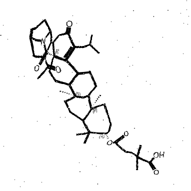 CC(=O)N1CC2CCC(C1)N2C(=O)[C@@]12CCC3C(CCC4[C@@]3(C)CCC3C(C)(C)[C@@H](OC(=O)CC(C)(C)C(=O)O)CC[C@@]34C)C1=C(C(C)C)C(=O)C2